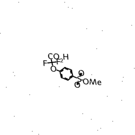 COS(=O)(=O)c1ccc(OC(F)(F)C(=O)O)cc1